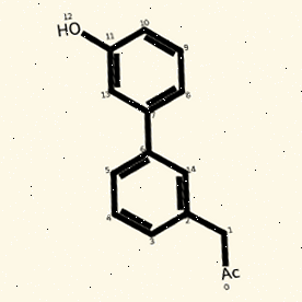 CC(=O)Cc1cccc(-c2cccc(O)c2)c1